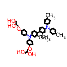 Cc1ccc(N(c2ccc(C)cc2)c2ccc(-c3ccc(N(c4ccc(OC/C(O)=C\O)cc4)c4ccc(OCC(O)CO)cc4)cc3C)c(C)c2)cc1